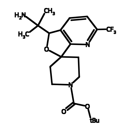 CC(C)(C)OC(=O)N1CCC2(CC1)OC(C(C)(C)N)c1ccc(C(F)(F)F)nc12